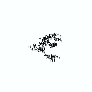 CNN(C)Cc1cc2ccccc2n1CCC(=O)NCCOCCOCCC(=O)N[C@H](C(=O)N[C@@H](CCCNC(N)=O)C(=O)Nc1ccc(COC(=O)N(C)[C@@H](C)C(=O)O[C@H]2CC(=O)N(C)c3cc(cc(OC)c3Cl)C/C(C)=C/C=C/[C@@H](OC)[C@@]3(O)C[C@H](OC(=O)N3)[C@@H](C)[C@@H]3O[C@@]23C)cc1)C(C)C